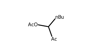 CCCCC(OC(C)=O)C(C)=O